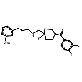 COc1cccc(SCCNCC2(F)CCN(C(=O)c3ccc(F)c(Cl)c3)CC2)c1